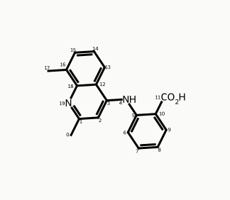 Cc1cc(Nc2ccccc2C(=O)O)c2cccc(C)c2n1